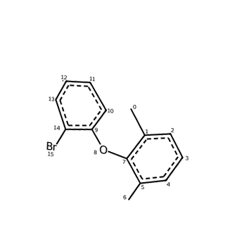 Cc1cccc(C)c1Oc1cc[c]cc1Br